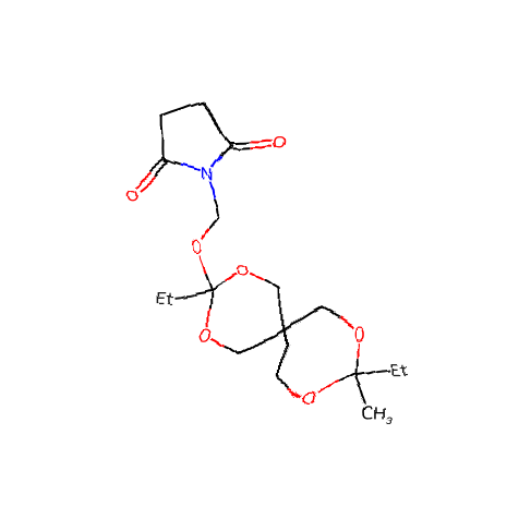 CCC1(C)OCC2(CO1)COC(CC)(OCN1C(=O)CCC1=O)OC2